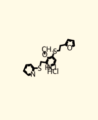 COc1c(SCCc2ccco2)ccnc1CSc1ccccn1.Cl.Cl